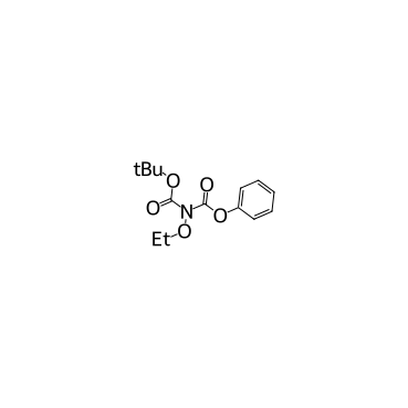 CCON(C(=O)Oc1ccccc1)C(=O)OC(C)(C)C